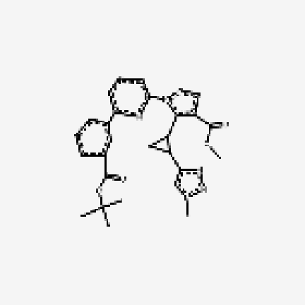 COC(=O)c1cnn(-c2cccc(-c3cccc(C(=O)OC(C)(C)C)c3)n2)c1C1CC1c1cn(C)nn1